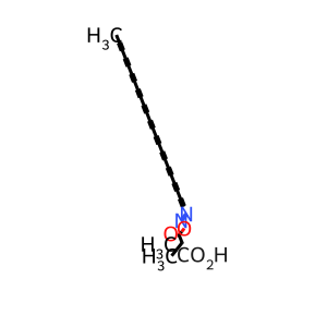 CC#CC#CC#CC#CC#CC#CC#CC#CC#CC#CC#C/N=N/OC(=O)CC(C)(C)C(=O)O